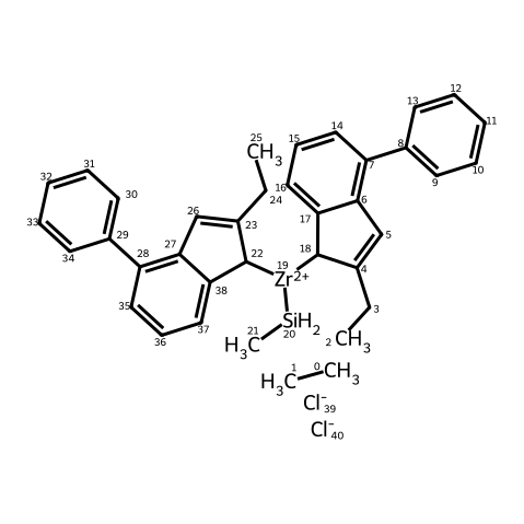 CC.CCC1=Cc2c(-c3ccccc3)cccc2[CH]1[Zr+2]([SiH2]C)[CH]1C(CC)=Cc2c(-c3ccccc3)cccc21.[Cl-].[Cl-]